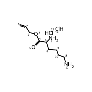 C=CCOC(=O)C(N)CCCCN.Cl.Cl